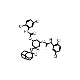 O=C(Nc1cc(Cl)ccc1Cl)OC1CC(OC(=O)Nc2cc(Cl)ccc2Cl)CC2(C1)OOC1(O2)C2CC3CC(C2)CC1C3